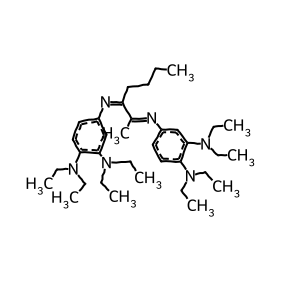 CCCCC(=Nc1ccc(N(CC)CC)c(N(CC)CC)c1)C(C)=Nc1ccc(N(CC)CC)c(N(CC)CC)c1